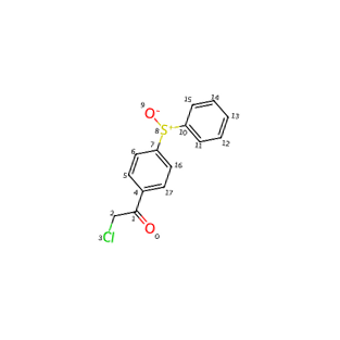 O=C(CCl)c1ccc([S+]([O-])c2ccccc2)cc1